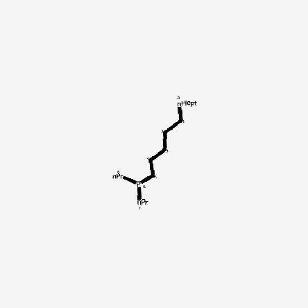 CCCCCCCCCCCCP(CCC)CCC